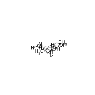 CC(Cn1cc(C#N)cn1)[C@H]1C[C@@H](C2CC2)[C@H]2[C@@H]3CC[C@@H]4C[C@](C)(O)CC[C@@H]4[C@H]3CC[C@@]21C